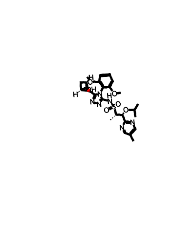 COc1cccc(OC)c1-n1c(NS(=O)(=O)[C@@H](C)[C@@H](OC(C)C)c2ncc(C)cn2)nnc1C1[C@H]2C[C@H]1C2O